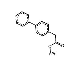 CCCOC(=O)Cc1ccc(-c2ccccc2)cc1